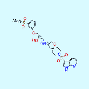 CNS(=O)(=O)c1cccc(OC[C@@H](O)CN[C@H]2COC3(CCN(S(=O)(=O)c4c[nH]c5ncccc45)CC3)C2)c1